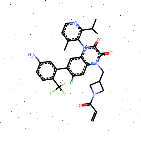 C=CC(=O)N1CC(Cn2c(=O)c(=O)n(-c3c(C)ccnc3C(C)C)c3cc(-c4cc(N)ccc4C(F)(F)F)c(Cl)cc32)C1